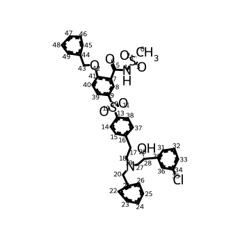 CS(=O)(=O)NC(=O)c1cc(S(=O)(=O)c2ccc(CCN(Cc3ccccc3)C[C@H](O)c3cccc(Cl)c3)cc2)ccc1OCc1ccccc1